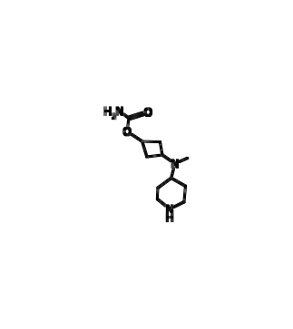 CN(C1CCNCC1)C1CC(OC(N)=O)C1